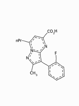 CCCc1cc(C(=O)O)nc2c(-c3ccccc3F)c(C)nn12